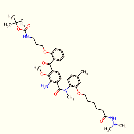 COc1c(C(=O)c2ccccc2OCCCNC(=O)OC(C)(C)C)ccc(C(=O)N(C)c2ccc(C)cc2OCCCCCC(=O)NN(C)C)c1N